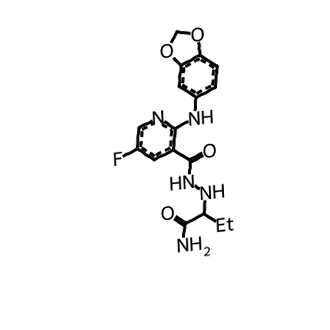 CCC(NNC(=O)c1cc(F)cnc1Nc1ccc2c(c1)OCO2)C(N)=O